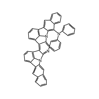 c1ccc(N(c2ccccc2)c2c3ccccc3cc3c4cccc5c6c7c8cccc9c%10cc%11ccccc%11cc%10n(c7ncc6n(c23)c45)c98)cc1